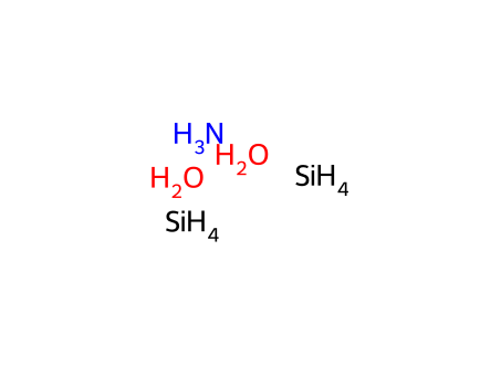 N.O.O.[SiH4].[SiH4]